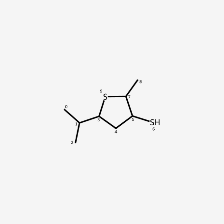 CC(C)C1CC(S)C(C)S1